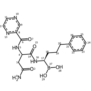 NC(=O)CC(NC(=O)c1cnccn1)C(=O)N[C@@H](CCCc1ccccc1)B(O)O